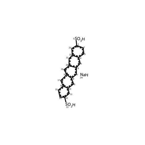 O=S(=O)(O)c1ccc2cc3cc4cc5cc(S(=O)(=O)O)ccc5cc4cc3cc2c1.[NaH]